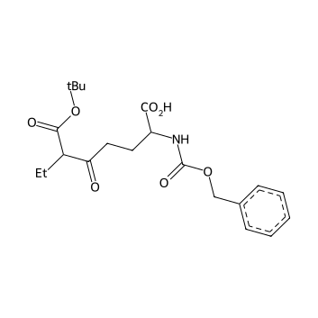 CCC(C(=O)CCC(NC(=O)OCc1ccccc1)C(=O)O)C(=O)OC(C)(C)C